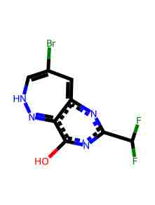 Oc1nc(C(F)F)nc2c1=NNC=C(Br)C=2